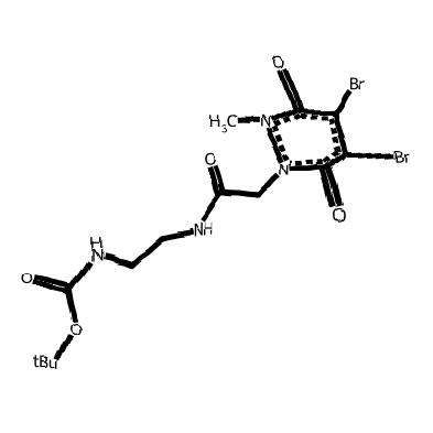 Cn1c(=O)c(Br)c(Br)c(=O)n1CC(=O)NCCNC(=O)OC(C)(C)C